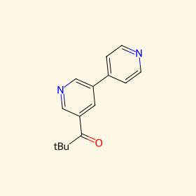 CC(C)(C)C(=O)c1cncc(-c2ccncc2)c1